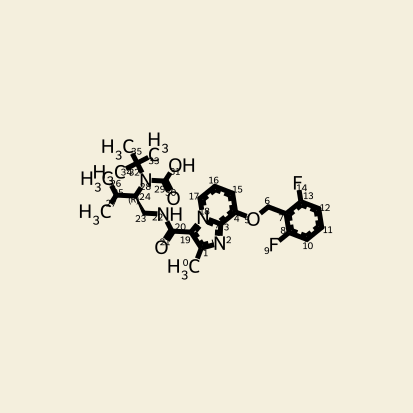 Cc1nc2c(OCc3c(F)cccc3F)cccn2c1C(=O)NC[C@@H](C(C)C)N(C(=O)O)C(C)(C)C